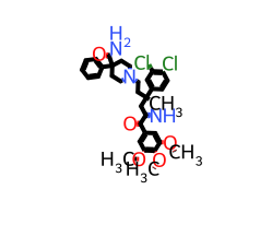 COc1cc(C(=O)C(=N)CC(C)(CCN2CCC(C(N)=O)(c3ccccc3)CC2)c2ccc(Cl)c(Cl)c2)cc(OC)c1OC